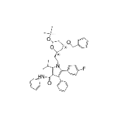 CC(C)c1c(C(=O)Nc2ccccc2)c(-c2ccccc2)c(-c2ccc(F)cc2)n1CC[C@@H]1C[C@@H](OCc2ccccc2)CC(OC(C)(C)C)O1